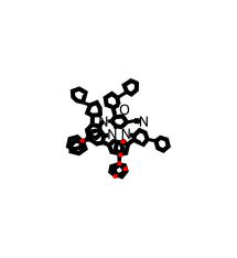 N#Cc1c(-n2c3ccc(-c4ccccc4)cc3c3cc(-c4ccccc4)ccc32)c(-n2c3ccc(-c4ccccc4)cc3c3cc(-c4ccccc4)ccc32)c(-n2c3ccc(-c4ccccc4)cc3c3cc(-c4ccccc4)ccc32)c2c1oc1c(-c3ccccc3)cccc12